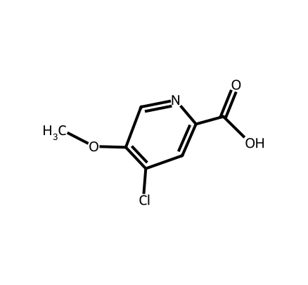 COc1cnc(C(=O)O)cc1Cl